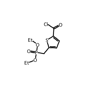 CCOP(=O)(Cc1ccc(C(=O)Cl)s1)OCC